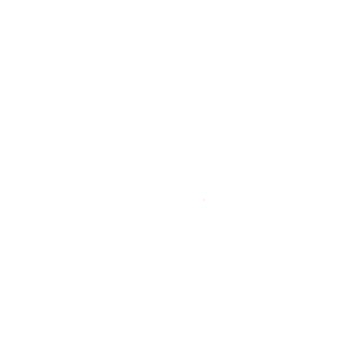 O=C(O)CCCCC(O)c1ccc(-c2ccccc2)cc1